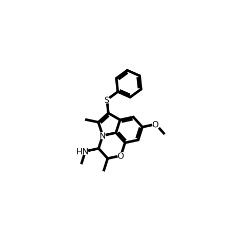 CNC1C(C)Oc2cc(OC)cc3c(Sc4ccccc4)c(C)n1c23